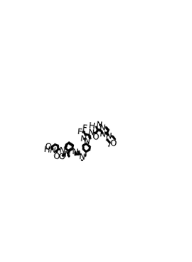 C[C@H]1CN(c2ccn3ncc(C(=O)Nc4cn([C@H]5CC[C@H](CN(C)C6CN(c7cccc8c7n(C)c(=O)n8C7CCC(=O)NC7=O)C6)CC5)nc4C(F)F)c3n2)CCO1